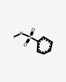 O=S(=O)([N]I)c1ccccc1